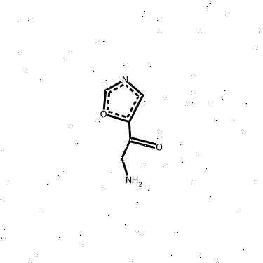 NCC(=O)c1cnco1